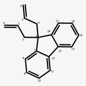 C=CCC1(CC=C)c2c[c]ccc2-c2ccccc21